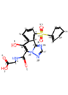 O=C(O)CNC(=O)c1c(O)c2cccc(S(=O)(=O)c3ccccc3)c2c2ncnn12